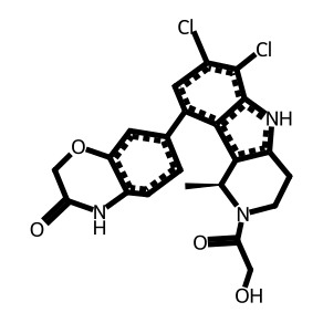 C[C@H]1c2c([nH]c3c(Cl)c(Cl)cc(-c4ccc5c(c4)OCC(=O)N5)c23)CCN1C(=O)CO